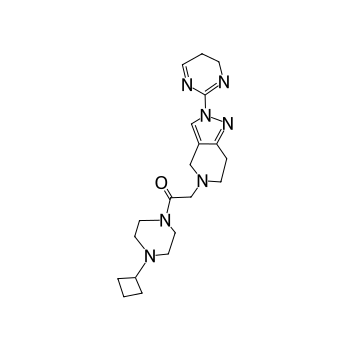 O=C(CN1CCc2nn(C3=NCCC=N3)cc2C1)N1CCN(C2CCC2)CC1